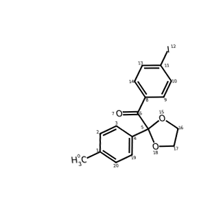 Cc1ccc(C2(C(=O)c3ccc(I)cc3)OCCO2)cc1